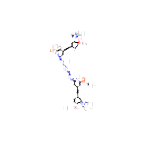 CCOP(C)(=O)c1cc(C#Cc2ccc(OC)c(N(CC)CC)c2)cc(CNCCNCCNCc2cc(C#Cc3ccc(OC)c(N(CC)CC)c3)cc([PH](C)=O)n2)n1